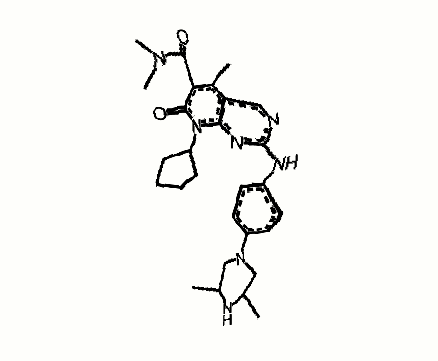 Cc1c(C(=O)N(C)C)c(=O)n(C2CCCC2)c2nc(Nc3ccc(N4CC(C)NC(C)C4)cc3)ncc12